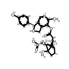 Cc1ncc2c(c1OC(=O)CC1C3CCC(C)(C1O[N+](=O)[O-])C3(C)C)CO[C@H]2c1ccc(Cl)cc1